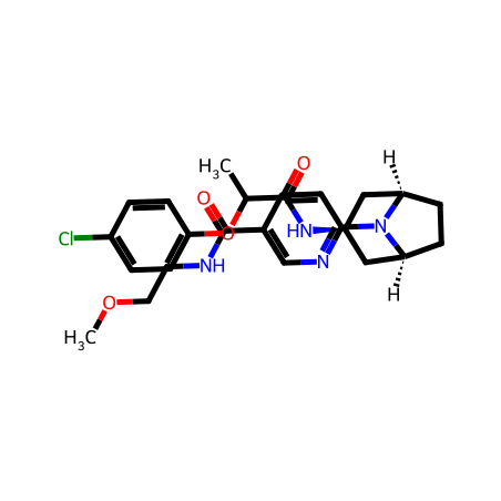 COCCNC(=O)c1ccc(N2[C@@H]3CC[C@H]2C[C@@H](NC(=O)C(C)Oc2ccc(Cl)cc2)C3)nc1